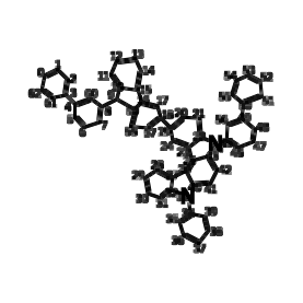 c1ccc(-c2cccc(C3c4ccccc4-c4cc(-c5ccc6c(c5)c5c7c8ccccc8n(-c8ccccc8)c7ccc5n6-c5cccc(-c6ccccc6)c5)ccc43)c2)cc1